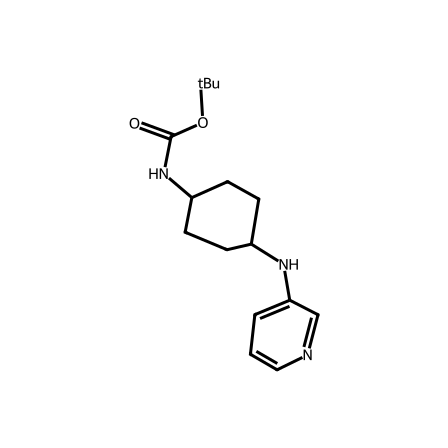 CC(C)(C)OC(=O)NC1CCC(Nc2cccnc2)CC1